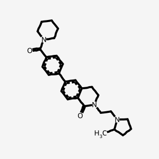 CC1CCCN1CCN1CCc2cc(-c3ccc(C(=O)N4CCCCC4)cc3)ccc2C1=O